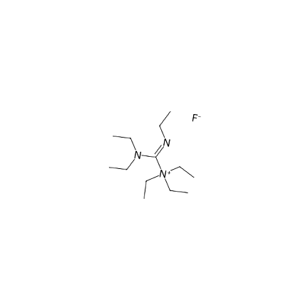 CC/N=C(\N(CC)CC)[N+](CC)(CC)CC.[F-]